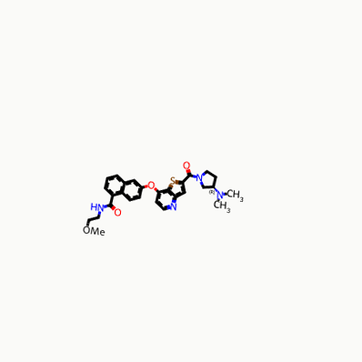 COCCNC(=O)c1cccc2cc(Oc3ccnc4cc(C(=O)N5CC[C@@H](N(C)C)C5)sc34)ccc12